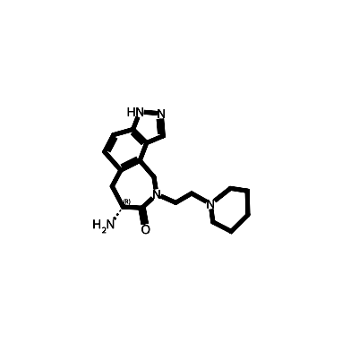 N[C@@H]1Cc2ccc3[nH]ncc3c2CN(CCN2CCCCC2)C1=O